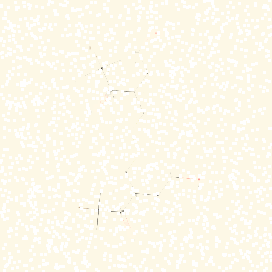 CC(C)(Br)C(=O)C(CCO)CSSCC(CCO)C(=O)C(C)(C)Br